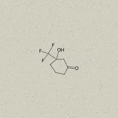 O=C1CCCC(O)(C(F)(F)F)C1